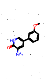 COc1cccc(-c2c[nH]c(=O)c(N)c2)c1